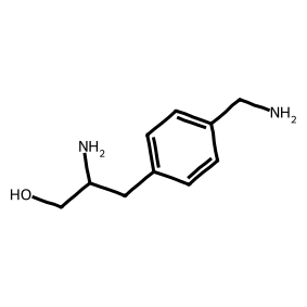 NCc1ccc(CC(N)CO)cc1